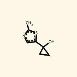 Cc1ncc(C2(O)CC2)s1